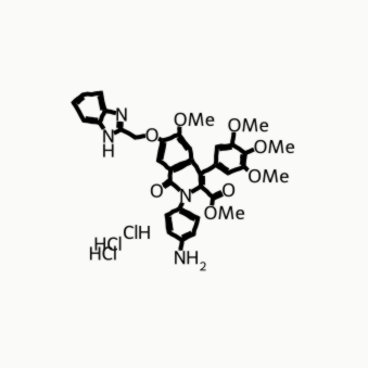 COC(=O)c1c(-c2cc(OC)c(OC)c(OC)c2)c2cc(OC)c(OCc3nc4ccccc4[nH]3)cc2c(=O)n1-c1ccc(N)cc1.Cl.Cl.Cl